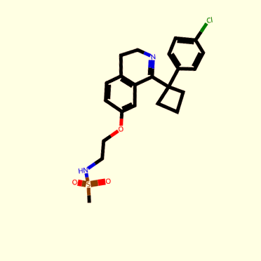 CS(=O)(=O)NCCOc1ccc2c(c1)C(C1(c3ccc(Cl)cc3)CCC1)=NCC2